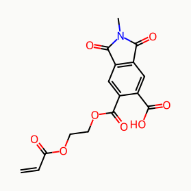 C=CC(=O)OCCOC(=O)c1cc2c(cc1C(=O)O)C(=O)N(C)C2=O